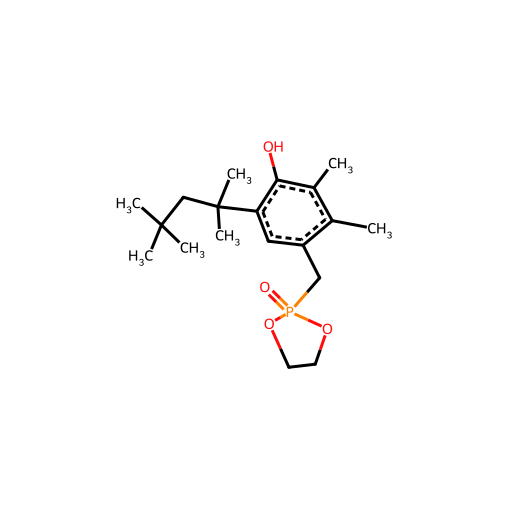 Cc1c(CP2(=O)OCCO2)cc(C(C)(C)CC(C)(C)C)c(O)c1C